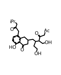 CC(=O)CC(=O)C(CO)C(CCO)CC1CC(=O)c2c(O)ccc(CC(=O)CC(C)C)c2C1